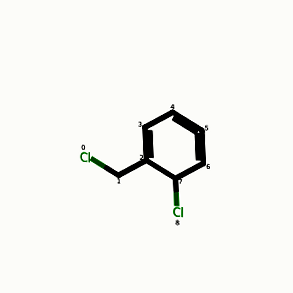 ClCC1=CC=C=CC1Cl